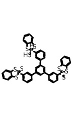 S=P1(c2cccc(-c3cc(-c4cccc(P5(=S)Sc6ccccc6S5)c4)cc(-c4cccc([PH]5(S)Sc6ccccc6S5)c4)c3)c2)Sc2ccccc2S1